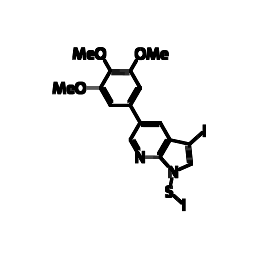 COc1cc(-c2cnc3c(c2)c(I)cn3SI)cc(OC)c1OC